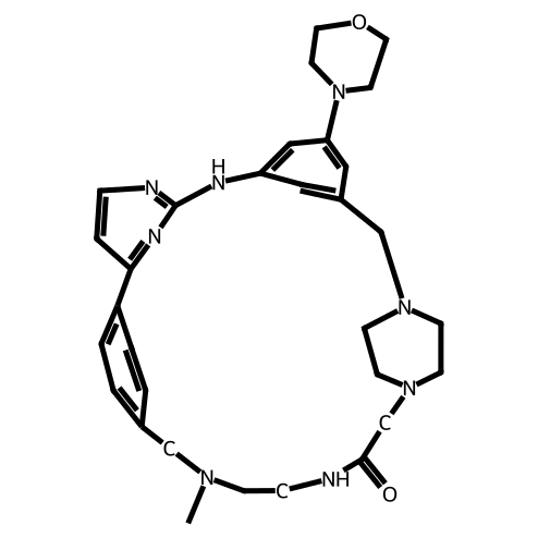 CN1CCNC(=O)CN2CCN(CC2)Cc2cc(cc(N3CCOCC3)c2)Nc2nccc(n2)-c2ccc(cc2)C1